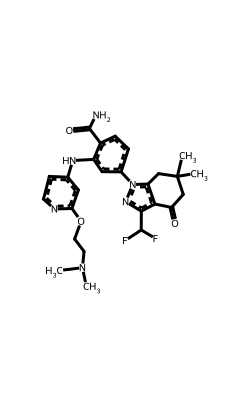 CN(C)CCOc1cc(Nc2cc(-n3nc(C(F)F)c4c3CC(C)(C)CC4=O)ccc2C(N)=O)ccn1